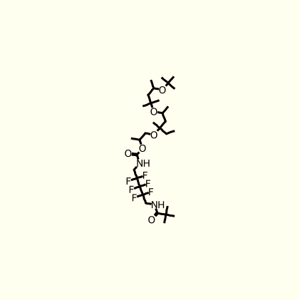 CCC(C)(CC(C)OC(C)(C)CC(C)OC(C)(C)C)OCC(C)OC(=O)NCC(F)(F)C(F)(F)C(F)(F)CNC(=O)C(C)(C)C